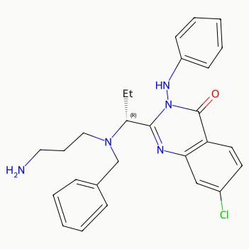 CC[C@H](c1nc2cc(Cl)ccc2c(=O)n1Nc1ccccc1)N(CCCN)Cc1ccccc1